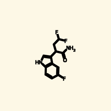 NC(=O)C(CC(F)F)c1c[nH]c2ccc(F)cc12